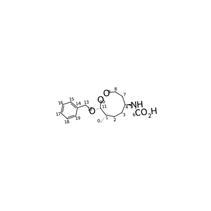 C[C@H]1CC[C@H](NC(=O)O)CCOO[C@H]1OCc1ccccc1